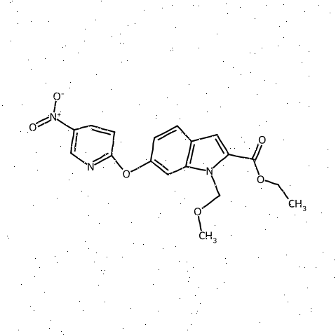 CCOC(=O)c1cc2ccc(Oc3ccc([N+](=O)[O-])cn3)cc2n1COC